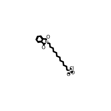 O=C1c2ccccc2C(=O)N1CCCCCCCCCCCCS(=O)(=O)Cl